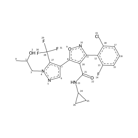 CC(O)Cn1ncc(-c2onc(-c3c(F)cccc3Cl)c2C(=O)NC2CC2)c1C(F)(F)F